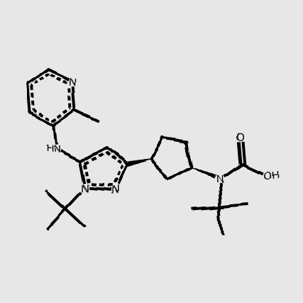 Cc1ncccc1Nc1cc([C@H]2CC[C@@H](N(C(=O)O)C(C)(C)C)C2)nn1C(C)(C)C